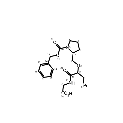 CC(C)CC(OC[C@@H]1CCCN1C(=O)OCc1ccccc1)C(=O)NCC(=O)O